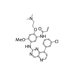 C=CC(=O)Nc1cc(Nc2ncc3nccc(-c4cccc(Cl)c4)c3n2)c(OC)cc1OCCN(C)C